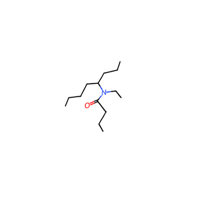 CCCCC(CCC)N(CC)C(=O)CCC